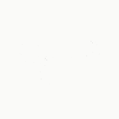 CCC(CCC(C)N)c1ccc2c(c1)N(c1ccccc1)C13CC1CCCC(C)C3C2